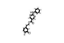 O=C(OCCc1ccc(I)c(Cl)c1)c1cnc(Nc2ccccc2)nc1